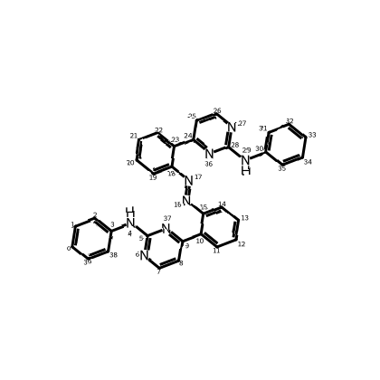 c1ccc(Nc2nccc(-c3ccccc3N=Nc3ccccc3-c3ccnc(Nc4ccccc4)n3)n2)cc1